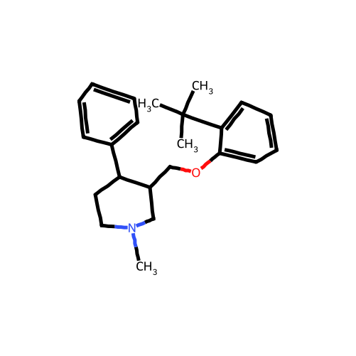 CN1CCC(c2ccccc2)C(COc2ccccc2C(C)(C)C)C1